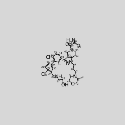 C[C@H]1COCCN1CCCn1nc(-c2ccc(Cl)c(-c3ccc(Cl)c(CNCCO)c3)c2)c2c1CCN(C(=O)C(N)=O)C2